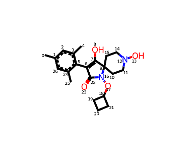 Cc1cc(C)c(C2=C(O)C3(CCN(O)CC3)N(OC3CCC3)C2=O)c(C)c1